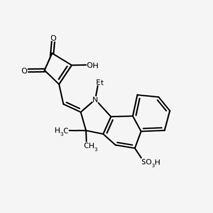 CCN1C(=Cc2c(O)c(=O)c2=O)C(C)(C)c2cc(S(=O)(=O)O)c3ccccc3c21